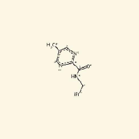 Cc1cnc(C(=O)NCC(C)C)nc1